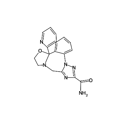 NC(=O)c1nc2n(n1)-c1ccccc1C1(c3ccccn3)OCCN1C2